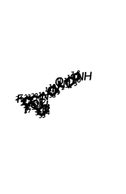 O=C(CN1CCC2(CCNC2)CC1)N1CCC(NCCCc2cc(F)cc(F)c2OCc2cccnc2F)CC1